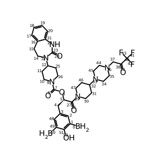 Bc1cc(C[C@@H](OC(=O)N2CCC(N3CCc4ccccc4NC3=O)CC2)C(=O)N2CCC(N3CCN(CC(=O)C(F)(F)F)CC3)CC2)cc(B)c1O